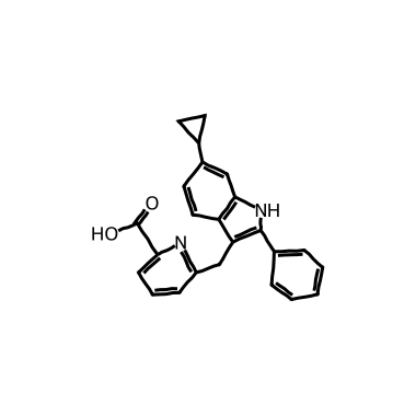 O=C(O)c1cccc(Cc2c(-c3ccccc3)[nH]c3cc(C4CC4)ccc23)n1